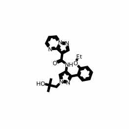 CCOc1ccccc1-c1nn(CC(C)(C)O)cc1NC(=O)c1cnn2cccnc12